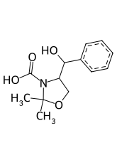 CC1(C)OCC(C(O)c2ccccc2)N1C(=O)O